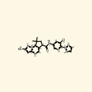 CC1(C)CC(C(=O)Nc2cnc(-n3nccn3)c(Cl)c2)c2cnc3cc(C#N)nn3c21